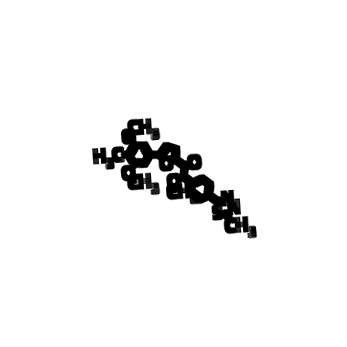 COc1cc(-c2ccc(C(=O)C(OC)c3ccc(-c4nnc(C)s4)cc3)o2)cc(OC)c1C